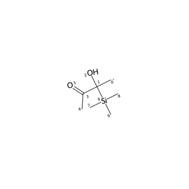 [CH2]C(O)(C(C)=O)[Si](C)(C)C